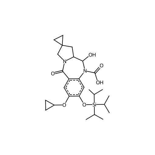 CC(C)[Si](Oc1cc2c(cc1OC1CC1)C(=O)N1CC3(CC3)CC1C(O)N2C(=O)O)(C(C)C)C(C)C